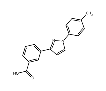 Cc1ccc(-n2ccc(-c3cccc(C(=O)O)c3)n2)cc1